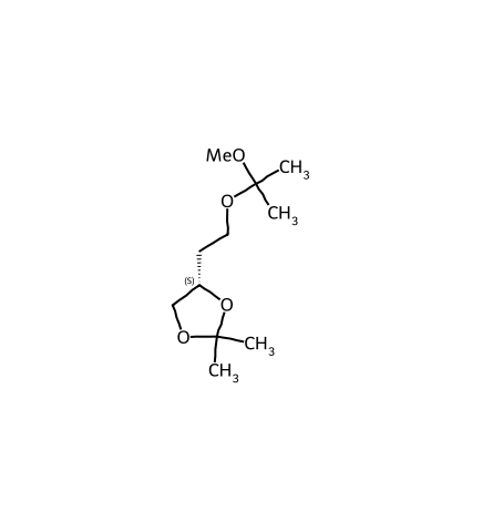 COC(C)(C)OCC[C@H]1COC(C)(C)O1